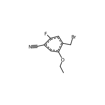 CCOc1cc(C#N)c(F)cc1CBr